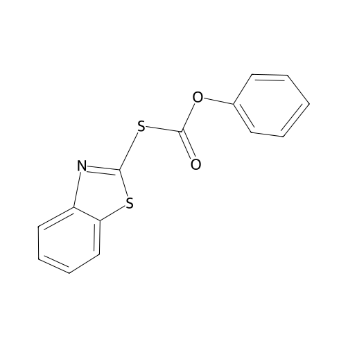 O=C(Oc1ccccc1)Sc1nc2ccccc2s1